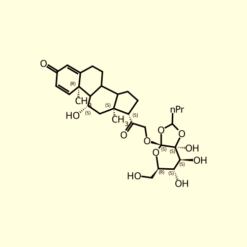 CCCC1O[C@@]2(OCC(=O)[C@H]3CCC4C5CCC6=CC(=O)C=C[C@]6(C)C5[C@@H](O)C[C@@]43C)O[C@H](CO)[C@@H](O)[C@H](O)[C@]2(O)O1